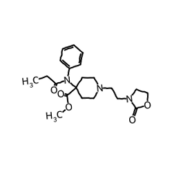 CCC(=O)N(c1ccccc1)C1(C(=O)OC)CCN(CCN2CCOC2=O)CC1